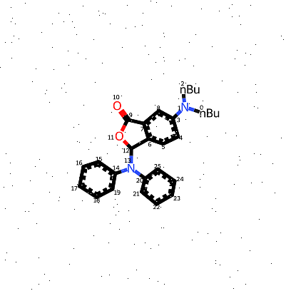 CCCCN(CCCC)c1ccc2c(c1)C(=O)OC2N(c1ccccc1)c1ccccc1